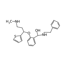 CNCCC(Oc1ccccc1C(O)NCCc1ccccc1)c1cccs1